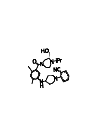 Cc1cc(C)c(C(=O)N2CCN(C(C)C)[C@@H](CO)C2)cc1NC1CCN(c2ccccc2C#N)CC1